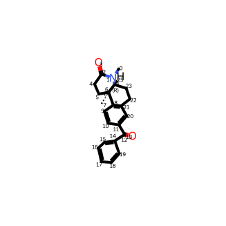 CN1C(=O)CC[C@]2(C)c3ccc(C(=O)c4ccccc4)cc3CC[C@@H]12